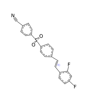 N#Cc1ccc(S(=O)(=O)c2ccc(/C=C/c3ccc(F)cc3F)cc2)cc1